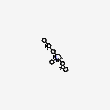 Cc1nc(-c2ccccc2)ccc1-c1ccc(/C2=N/C(c3ccccc3)=N\C(c3ccc4c(c3)C(C)(C)c3ccccc3-4)C(C)CC2)cc1